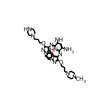 CN1CCN(CCCOc2nn3ccccc3c2/N=C2\N/C(=N\c3c(OCCCN4CCNCC4)nn4ccccc34)C(=N)C=C2N)CC1